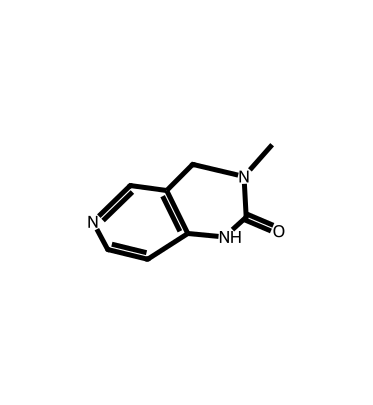 CN1Cc2cnccc2NC1=O